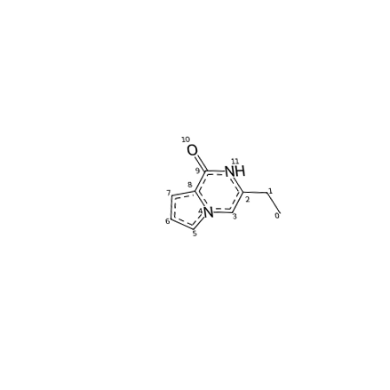 CCc1cn2cccc2c(=O)[nH]1